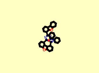 c1ccc(-c2nc(-c3cccc4c3oc3ccccc34)nc(-c3cccc4oc5cccc(-c6nc7ccccc7s6)c5c34)n2)cc1